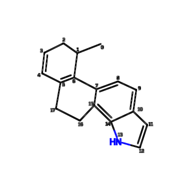 CC1CC=CC2=C1c1ccc3cc[nH]c3c1CC2